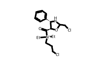 CC[N+](CC)(CCCCl)C(=O)[C@@H]1OC(CCl)N[C@H]1c1ccccc1